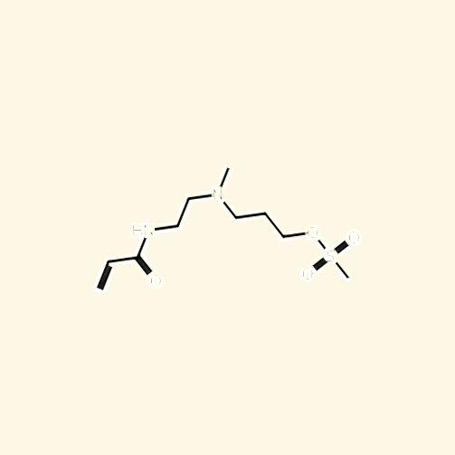 C=CC(=O)NCCN(C)CCCOS(C)(=O)=O